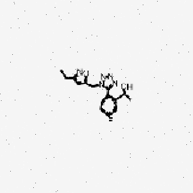 CCc1cc(Cn2nnnc2-c2ccc(F)cc2C(C)O)on1